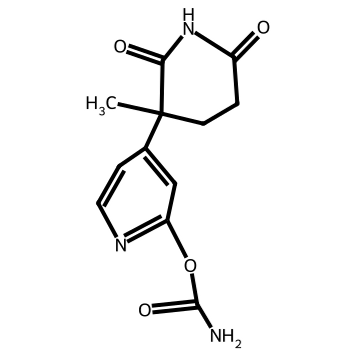 CC1(c2ccnc(OC(N)=O)c2)CCC(=O)NC1=O